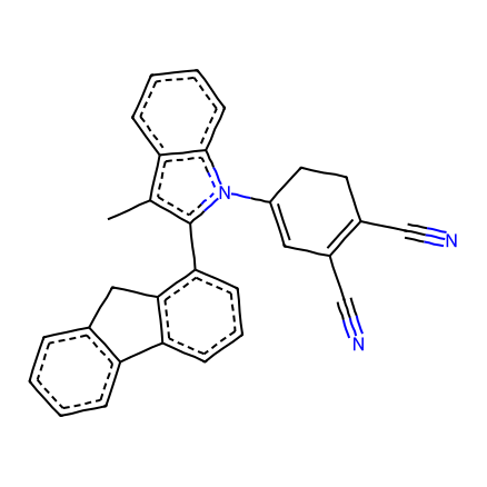 Cc1c(-c2cccc3c2Cc2ccccc2-3)n(C2=CC(C#N)=C(C#N)CC2)c2ccccc12